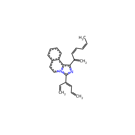 C=C/C=C(\C=C)c1nc(C(=C)/C=C\C=C/C)c2c3ccccc3ccn12